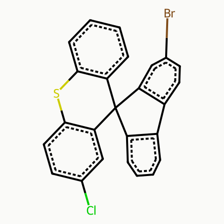 Clc1ccc2c(c1)C1(c3ccccc3S2)c2ccccc2-c2ccc(Br)cc21